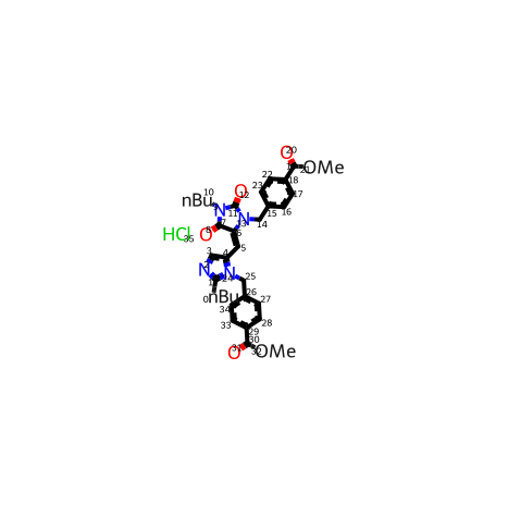 CCCCc1ncc(C=C2C(=O)N(CCCC)C(=O)N2Cc2ccc(C(=O)OC)cc2)n1Cc1ccc(C(=O)OC)cc1.Cl